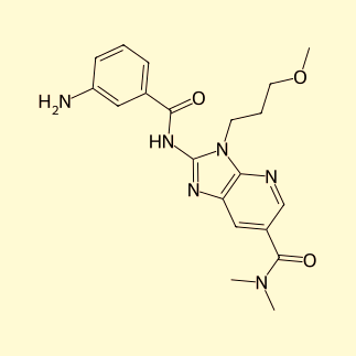 COCCCn1c(NC(=O)c2cccc(N)c2)nc2cc(C(=O)N(C)C)cnc21